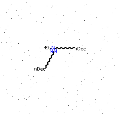 C[CH]c1nc(CCCCCCCCCCCCCCCCCCC)nc(CCCCCCCCCCCCCCCCCCC)n1